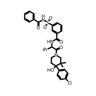 CC(C)C(NC(=O)c1cccc(S(=O)(=O)NC(=O)c2ccccc2)c1)C(=O)N1CCC(O)(c2ccc(Cl)cc2)C(C)(C)C1